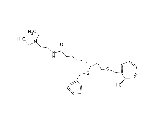 CCN(CC)CCNC(=O)CCCC[C@H](CCSCC1=CC=CC=C[C@H]1C)SCc1ccccc1